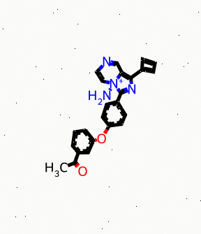 CC(=O)c1cccc(Oc2ccc(C3=NC(C4=CC=C4)=C4C=NC=C[N+]34N)cc2)c1